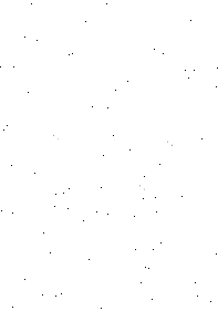 O=C(c1ncc[nH]1)c1ncccc1F